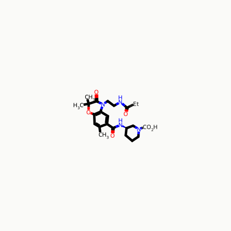 CCC(=O)NCCN1C(=O)C(C)(C)Oc2cc(C)c(C(=O)N[C@@H]3CCCN(C(=O)O)C3)cc21